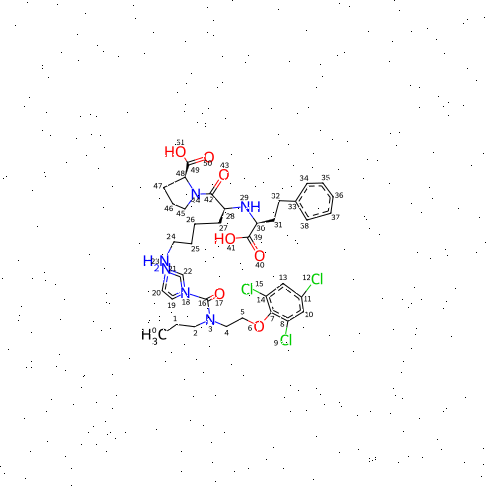 CCCN(CCOc1c(Cl)cc(Cl)cc1Cl)C(=O)n1ccnc1.NCCCC[C@H](N[C@@H](CCc1ccccc1)C(=O)O)C(=O)N1CCC[C@H]1C(=O)O